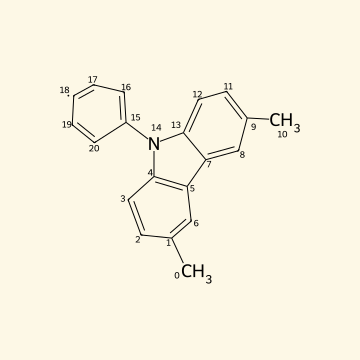 Cc1ccc2c(c1)c1cc(C)ccc1n2-c1cc[c]cc1